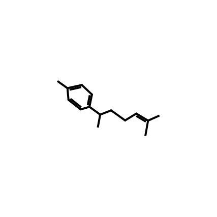 CC(C)=CCCC(C)c1ccc(C)cc1